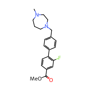 COC(=O)c1ccc(-c2ccc(CN3CCCN(C)CC3)cc2)c(F)c1